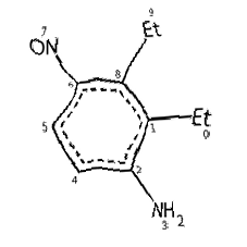 CCc1c(N)ccc(N=O)c1CC